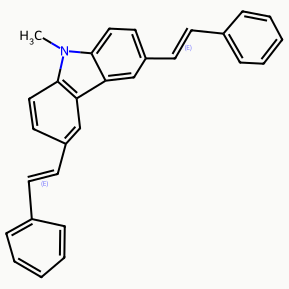 Cn1c2ccc(/C=C/c3ccccc3)cc2c2cc(/C=C/c3ccccc3)ccc21